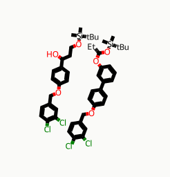 CC(C)(C)[Si](C)(C)OCCC(O)c1ccc(OCc2ccc(Cl)c(Cl)c2)cc1.CCC(Oc1cccc(-c2ccc(OCc3ccc(Cl)c(Cl)c3)cc2)c1)O[Si](C)(C)C(C)(C)C